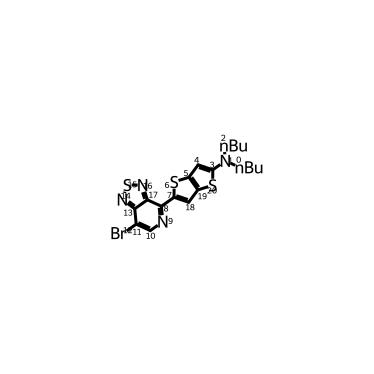 CCCCN(CCCC)c1cc2sc(-c3ncc(Br)c4nsnc34)cc2s1